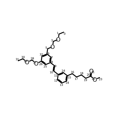 CCOCOCc1cc(C=Cc2cccc(CCCCC(=O)OC)c2)cc(OCOCC)c1